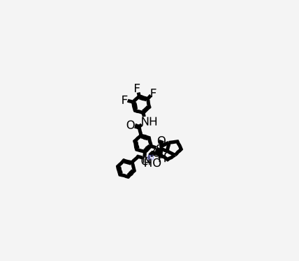 O=C(Nc1cc(F)c(F)c(F)c1)c1ccc(Cl)c(S(=O)(=O)[C@H]2C3CCC2C[C@](O)(/C=N/Cc2ccccc2)C3)c1